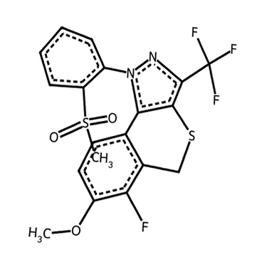 COc1ccc2c(c1F)CSc1c(C(F)(F)F)nn(-c3ccccc3S(C)(=O)=O)c1-2